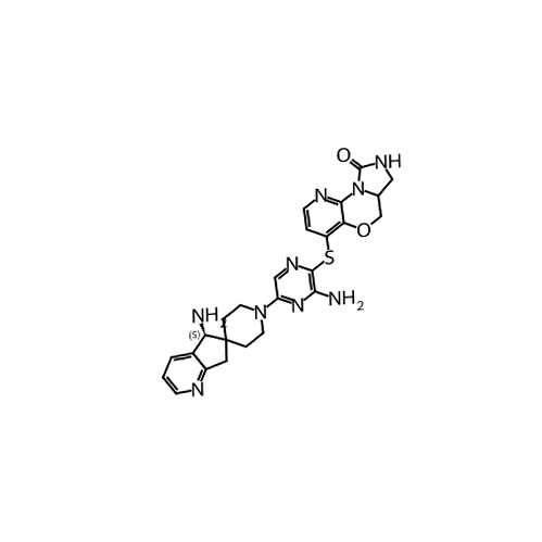 Nc1nc(N2CCC3(CC2)Cc2ncccc2[C@H]3N)cnc1Sc1ccnc2c1OCC1CNC(=O)N21